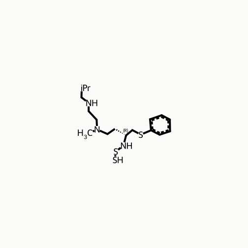 CC(C)CNCCN(C)CC[C@H](CSc1ccccc1)NSS